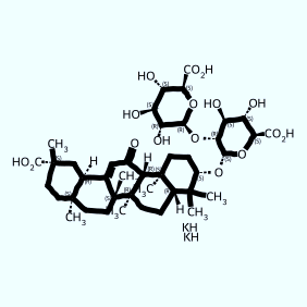 CC1(C)[C@@H](O[C@H]2O[C@H](C(=O)O)[C@@H](O)[C@H](O)[C@H]2O[C@@H]2O[C@H](C(=O)O)[C@@H](O)[C@H](O)[C@H]2O)CC[C@]2(C)[C@H]3C(=O)C=C4[C@@H]5C[C@@](C)(C(=O)O)CC[C@]5(C)CC[C@@]4(C)[C@]3(C)CC[C@@H]12.[KH].[KH]